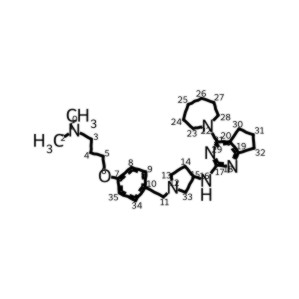 CN(C)CCCOc1ccc(CN2CCC(Nc3nc4c(c(N5CCCCCC5)n3)CCC4)C2)cc1